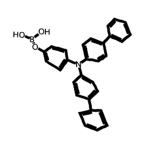 OB(O)Oc1ccc(N(c2ccc(-c3ccccc3)cc2)c2ccc(-c3ccccc3)cc2)cc1